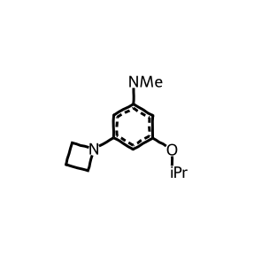 CNc1cc(OC(C)C)cc(N2CCC2)c1